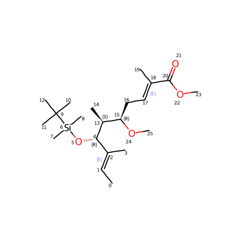 C/C=C(\C)[C@H](O[Si](C)(C)C(C)(C)C)[C@@H](C)[C@@H](C/C=C(\C)C(=O)OC)OC